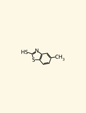 Cc1ccc2sc(S)nc2c1